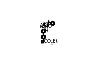 CCOC(=O)C1(c2ccc(-c3ccc(-n4nnc(C)c4NC(=O)OC(C)c4ccccc4)cc3)cc2)CCC1